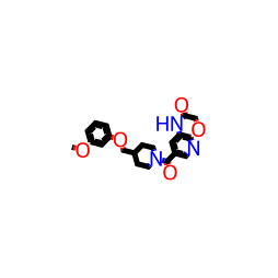 COc1cccc(OCC2CCN(C(=O)c3cnc4c(c3)NC(=O)CO4)CC2)c1